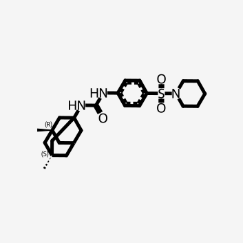 C[C@]12CC3CC(NC(=O)Nc4ccc(S(=O)(=O)N5CCCCC5)cc4)(C1)C[C@@](C)(C3)C2